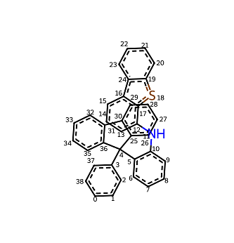 c1ccc(C2(c3ccccc3Nc3cccc4c3sc3ccccc34)c3ccccc3-c3ccccc32)cc1